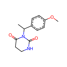 COc1ccc(C(C)N2C(=O)CCNC2=O)cc1